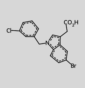 O=C(O)Cc1cn(Cc2cccc(Cl)c2)c2ccc(Br)cc12